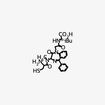 CCC(C)[C@H](NC(=O)CN1C(=O)C(N(C)C(=O)C(N)CS)N=C(c2ccccc2)c2ccccc21)C(=O)O